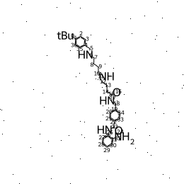 CC(C)(C)c1ccc(CNCCCCNCCCC(=O)NCc2ccc(C(=O)Nc3ccccc3N)cc2)cc1